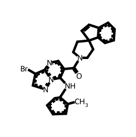 Cc1ccccc1Nc1c(C(=O)N2CCC3(C=Cc4ccccc43)CC2)cnc2c(Br)cnn12